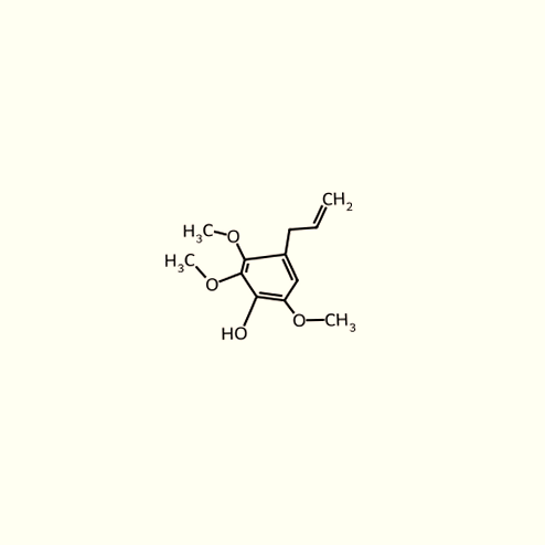 C=CCc1cc(OC)c(O)c(OC)c1OC